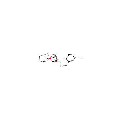 COc1cc([C@@H](C)NCCC(=O)N2CC3CCC(C2)N3c2ccc(C#N)cn2)ccn1